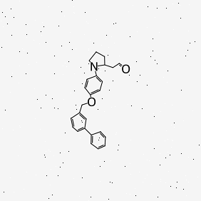 O=CCC1CCCN1c1ccc(OCc2cccc(-c3ccccc3)c2)cc1